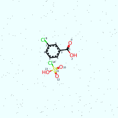 O=C(O)c1cccc(Cl)c1.O=S(=O)(O)Cl